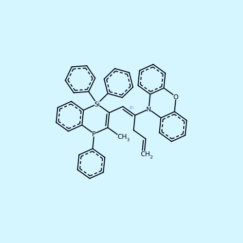 C=CC/C(=C\C1=C(C)P(c2ccccc2)c2ccccc2[Si]1(c1ccccc1)c1ccccc1)N1c2ccccc2Oc2ccccc21